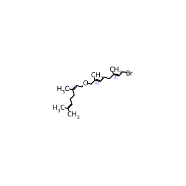 CC(C)=CCC/C(C)=C\COC/C(C)=C/CC/C(C)=C/CBr